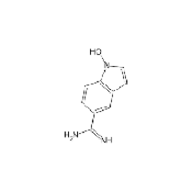 N=C(N)c1ccc2c(ccn2O)c1